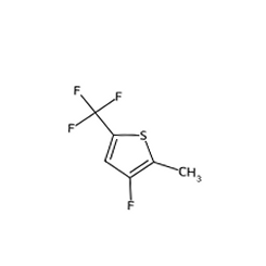 Cc1sc(C(F)(F)F)cc1F